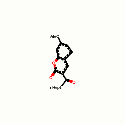 CCCCCCCC(=O)c1cc2ccc(OC)cc2oc1=O